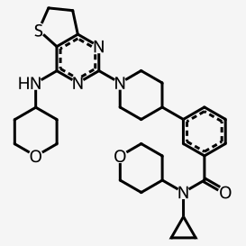 O=C(c1cccc(C2CCN(c3nc4c(c(NC5CCOCC5)n3)SCC4)CC2)c1)N(C1CCOCC1)C1CC1